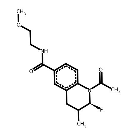 COCCNC(=O)c1ccc2c(c1)CC(C)[C@H](F)N2C(C)=O